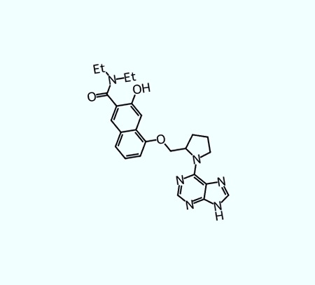 CCN(CC)C(=O)c1cc2cccc(OCC3CCCN3c3ncnc4[nH]cnc34)c2cc1O